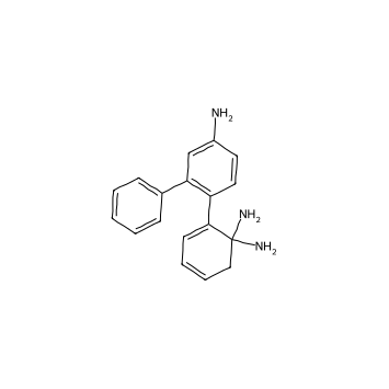 Nc1ccc(C2=CC=CCC2(N)N)c(-c2ccccc2)c1